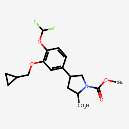 CC(C)(C)OC(=O)N1CC(c2ccc(OC(F)F)c(OCC3CC3)c2)CC1C(=O)O